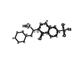 CCS(=O)(=O)c1ccc2c(=O)n(C(CC3CCCCC3)C(=O)O)cnc2c1